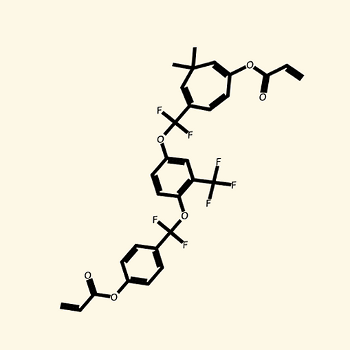 C=CC(=O)OC1=CC(C)(C)C=C(C(F)(F)Oc2ccc(OC(F)(F)c3ccc(OC(=O)C=C)cc3)c(C(F)(F)F)c2)C=C1